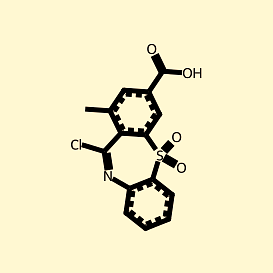 Cc1cc(C(=O)O)cc2c1C(Cl)=Nc1ccccc1S2(=O)=O